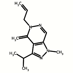 C=CCN1N=Cc2c(c(C(C)C)nn2C)C1=C